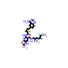 C=C(F)/C(F)=C\C=C(/C)CNC(=O)[C@H]1C=C(NC(=O)C(F)(F)F)C=NC1NCc1ccc(-c2ccc3ncnc(N)c3c2)s1